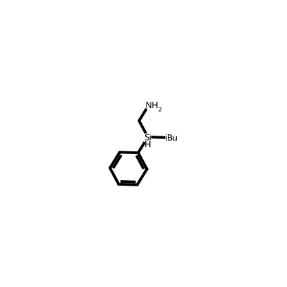 CCC(C)[SiH](CN)c1ccccc1